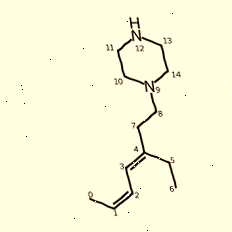 C/C=C\C=C(/CC)CCN1CCNCC1